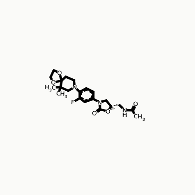 CC(=O)NC[C@H]1CN(c2ccc(N3CCC4(OCCO4)C(C)(C)C3)c(F)c2)C(=O)O1